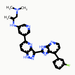 C=C(CN(C)C)Nc1cncc(-c2ccc3[nH]nc(-c4nc5c(-c6cccc(F)c6)ccnc5[nH]4)c3n2)c1